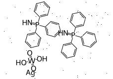 N=P(c1ccccc1)(c1ccccc1)c1ccccc1.N=P(c1ccccc1)(c1ccccc1)c1ccccc1.[Ag].[O]=[W](=[O])([OH])[OH]